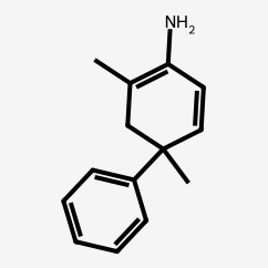 CC1=C(N)C=CC(C)(c2ccccc2)C1